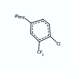 CCCC(C)c1ccc(Cl)c(C(F)(F)F)c1